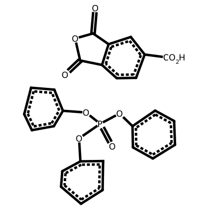 O=C(O)c1ccc2c(c1)C(=O)OC2=O.O=P(Oc1ccccc1)(Oc1ccccc1)Oc1ccccc1